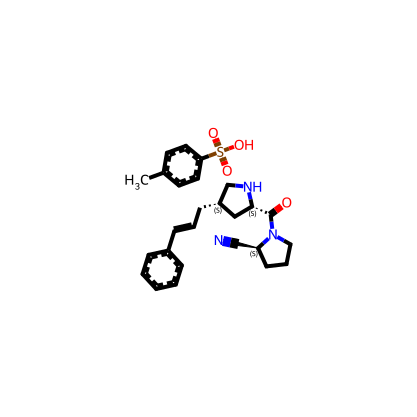 Cc1ccc(S(=O)(=O)O)cc1.N#C[C@@H]1CCCN1C(=O)[C@@H]1C[C@H](CC=Cc2ccccc2)CN1